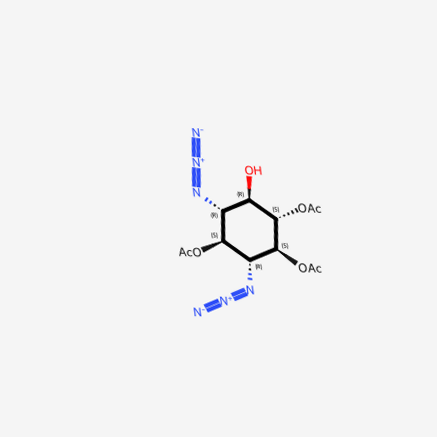 CC(=O)O[C@H]1[C@H](N=[N+]=[N-])[C@@H](O)[C@H](OC(C)=O)[C@@H](OC(C)=O)[C@@H]1N=[N+]=[N-]